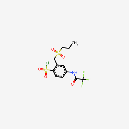 CCCS(=O)(=O)Cc1cc(NC(=O)C(F)(F)F)ccc1S(=O)(=O)Cl